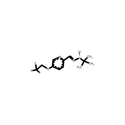 CC(C)(C)[S@@+]([O-])N=Cc1ccc(OCC(F)(F)F)cn1